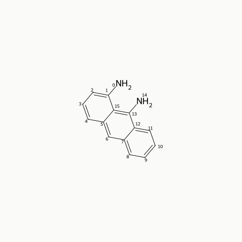 Nc1cccc2cc3ccccc3c(N)c12